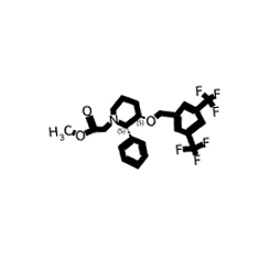 COC(=O)CN1CCC[C@H](OCc2cc(C(F)(F)F)cc(C(F)(F)F)c2)[C@@H]1c1ccccc1